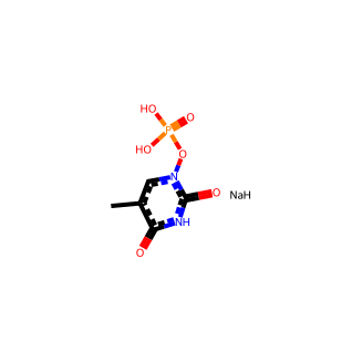 Cc1cn(OP(=O)(O)O)c(=O)[nH]c1=O.[NaH]